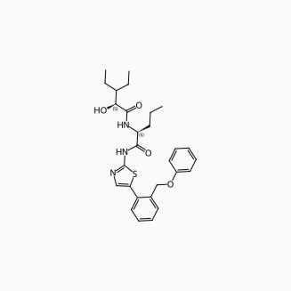 CCC[C@H](NC(=O)[C@@H](O)C(CC)CC)C(=O)Nc1ncc(-c2ccccc2COc2ccccc2)s1